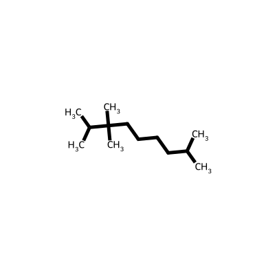 CC(C)CCCCC(C)(C)C(C)C